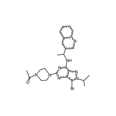 CC(=O)N1CCN(c2nc(NC(C)c3cnc4ccccc4c3)c3nn(C(C)C)c(Br)c3n2)CC1